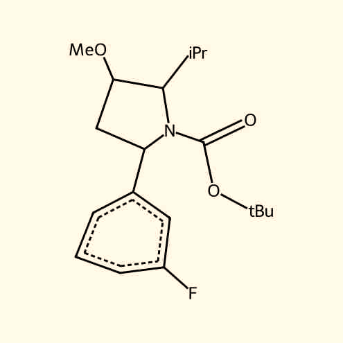 COC1CC(c2cccc(F)c2)N(C(=O)OC(C)(C)C)C1C(C)C